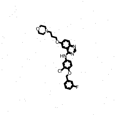 Fc1cccc(COc2ccc(Nc3ncnc4ccc(OCCCN5CCOCC5)cc34)cc2Cl)c1